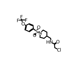 O=C(CCl)NCC1CCN(S(=O)(=O)c2ccc(OC(F)(F)F)cc2)CC1